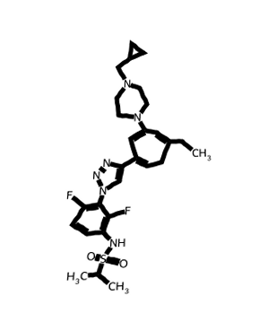 CCC1=CC(N2CCN(CC3CC3)CC2)=CC(c2cn(-c3c(F)ccc(NS(=O)(=O)C(C)C)c3F)nn2)=CC1